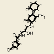 Cc1cc(NC[C@H](O)CNC(=O)c2ccc(Cl)s2)c(F)cc1N1CCCCC1=O